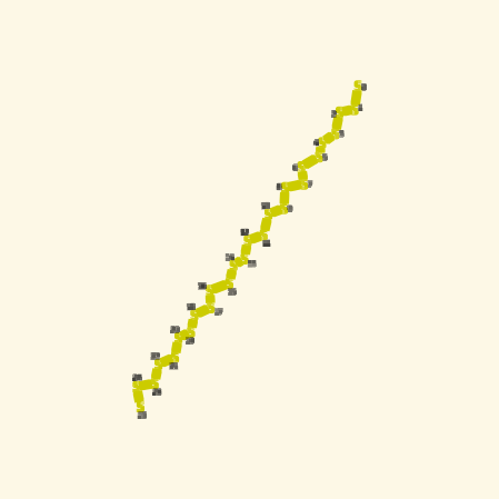 S=S=S=S=S=S=S=S=S=S=S=S=S=S=S=S=S=S=S=S=S=S=S=S=S=S